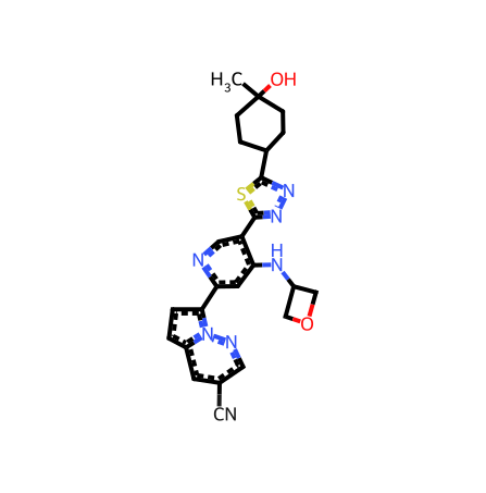 CC1(O)CCC(c2nnc(-c3cnc(-c4ccc5cc(C#N)cnn45)cc3NC3COC3)s2)CC1